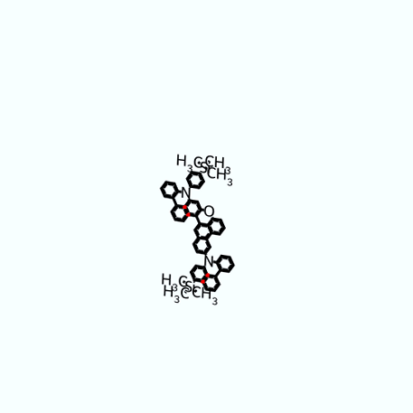 C[Si](C)(C)c1ccc(N(c2ccc3c(c2)Oc2cccc4c2c-3cc2ccc(N(c3ccc([Si](C)(C)C)cc3)c3ccccc3-c3ccccc3)cc24)c2ccccc2-c2ccccc2)cc1